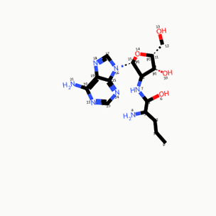 CCCC(N)C(O)NC1[C@@H](O)[C@@H](CO)O[C@H]1n1cnc2c(N)ncnc21